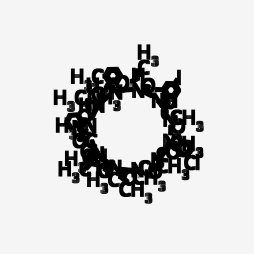 CCCC[C@@H]1NC(=O)[C@H](Cc2cccc(I)c2)NC(=O)CN(C)C(=O)[C@H](Cc2ccc(Cl)cc2)N(C)C(=O)CN(C)C(=O)CN(C)C(=O)[C@H]([C@@H](C)CC)NC(=O)[C@H](CC(C)C)N(C)C(=O)C[C@@H](C(=O)N2CCCCC2)N(C)C(=O)[C@H](CC(C)C)NC(=O)[C@H](Cc2ccccc2C)N(C)C1=O